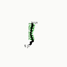 O=S(=O)(O)C(F)(F)C(F)(F)C(F)(F)C(F)(F)C(F)(F)C(F)(F)C(F)(F)C(F)(F)CCCC(F)(F)F